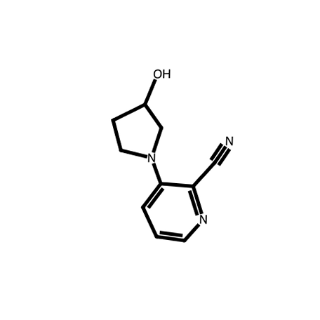 N#Cc1ncccc1N1CCC(O)C1